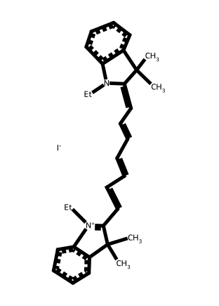 CCN1\C(=C/C=C/C=C/C=C/C2=[N+](CC)c3ccccc3C2(C)C)C(C)(C)c2ccccc21.[I-]